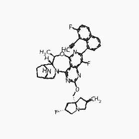 C#Cc1c(F)ccc2cccc(-c3nc4c5c(nc(OC[C@]67CC(=C)CN6C[C@H](F)C7)nc5c3F)N3CC5CCC(N5)[C@@H]3[C@@H](C)O4)c12